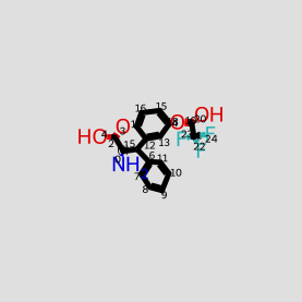 N[C@@H](C(=O)O)C(c1ccccc1)c1ccccc1.O=C(O)C(F)(F)F